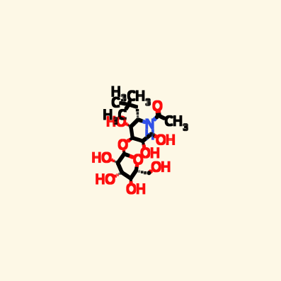 CC(=O)N[C@@H](CC(C)(C)C)[C@@H](O)[C@H](O[C@@H]1O[C@H](CO)[C@@H](O)[C@H](O)[C@@H]1O)[C@H](O)CO